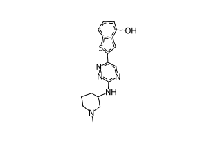 CN1CCCC(Nc2ncc(-c3cc4c(O)cccc4s3)nn2)C1